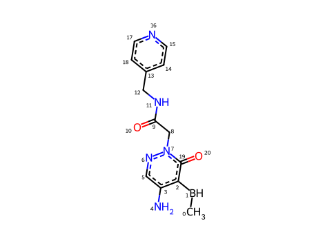 CBc1c(N)cnn(CC(=O)NCc2ccncc2)c1=O